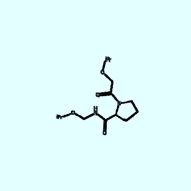 CC(C)OCNC(=O)C1CCCN1C(=O)COC(C)C